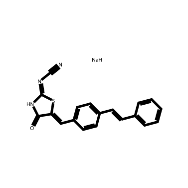 N#CN=C1NC(=O)C(=Cc2ccc(C=Cc3ccccc3)cc2)S1.[NaH]